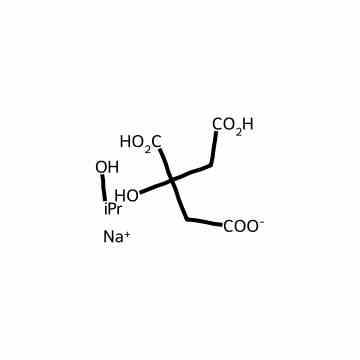 CC(C)O.O=C([O-])CC(O)(CC(=O)O)C(=O)O.[Na+]